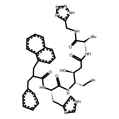 CC[C@H](C)[C@H](NC(=O)C[C@H](O)[C@H](CC(C)C)NC(=O)[C@H](Cc1c[nH]cn1)NC(=O)C(Cc1ccccc1)Cc1cccc2ccccc12)C(=O)NCc1nnn[nH]1